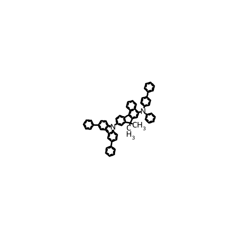 CC1(C)c2cc(-n3c4ccc(-c5ccccc5)cc4c4cc(-c5ccccc5)ccc43)ccc2-c2c1cc(N(c1ccccc1)c1ccc(-c3ccccc3)cc1)c1ccccc21